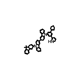 CC1(C)c2ccccc2C2=CC(N3c4ccccc4C4C=C(C5C=c6c(n(-c7cc(C8=CNCC=C8)cc(C8=CCCCC8)c7)c7ccccc67)=CC5)C=CC43)=CCC21